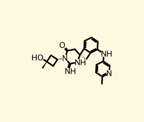 Cc1ccc(Nc2cccc3c2C[C@]32CC(=O)N([C@H]3C[C@@](C)(O)C3)C(=N)N2)cn1